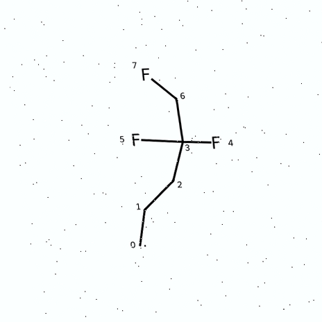 [CH2]CCC(F)(F)CF